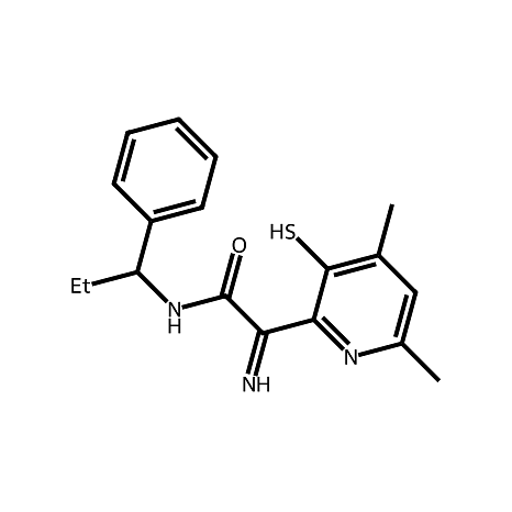 CCC(NC(=O)C(=N)c1nc(C)cc(C)c1S)c1ccccc1